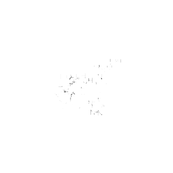 CC(C)(C)OC(=O)N1CC[C@@H](c2cnnn2CCc2ccccc2)[C@H](CC(C)(C)[Si](C)(C)O)C1